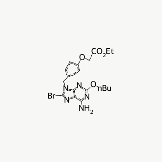 CCCCOc1nc(N)c2nc(Br)n(Cc3ccc(OCC(=O)OCC)cc3)c2n1